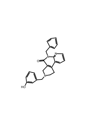 O=c1c2c(c3cccnc3n1Cc1ccccc1)CCN(Cc1cccc(O)c1)C2